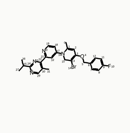 CC1=CC(OCc2ccc(F)cc2)=C(Br)CN1c1ccnc(-c2nc(C(C)C)ncc2C)c1